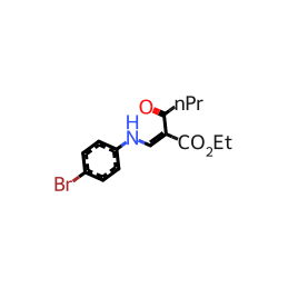 CCCC(=O)/C(=C\Nc1ccc(Br)cc1)C(=O)OCC